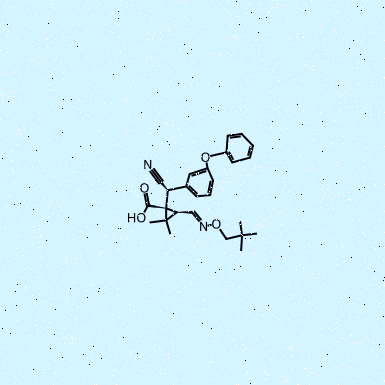 CC(C)(C)CON=C[C@H]1C(C)(C)[C@]1(C(=O)O)[C@@H](C#N)c1cccc(Oc2ccccc2)c1